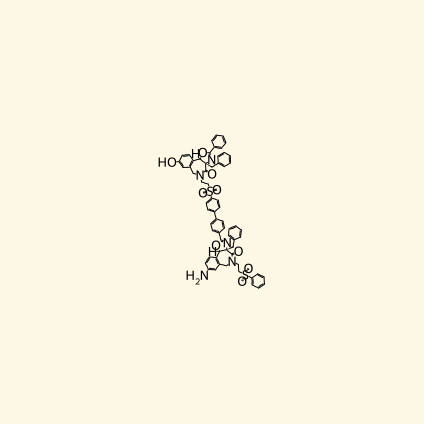 Nc1ccc2c(c1)CN(CCS(=O)(=O)c1ccccc1)C(=O)[C@@]1(Cc3ccccc3)N=C(c3ccc(-c4ccc(S(=O)(=O)CCN5Cc6cc(O)ccc6[C@@H]6OC(c7ccccc7)=N[C@]6(Cc6ccccc6)C5=O)cc4)cc3)O[C@@H]21